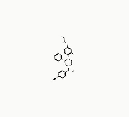 N#Cc1ccc([C@@H](CO)N2CCN(c3ccc(OCCO)cc3Cl)[C@H](c3ccccc3)C2)cc1